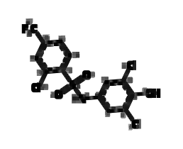 O=S(=O)(Nc1cc(Cl)c(O)c(Cl)c1)c1ccc(C(F)(F)F)cc1Cl